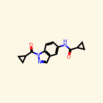 O=C(Nc1ccc2c(cnn2C(=O)C2CC2)c1)C1CC1